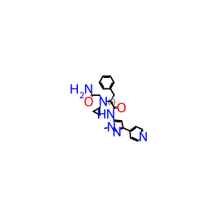 Cn1nc(-c2ccncc2)cc1NC(=O)[C@H](Cc1ccccc1)N(CC(N)=O)C1CC1